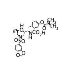 CC(C)CN(C[C@@H](O)[C@H](Cc1ccc(OC(=O)N(C)C)cc1)NC(=O)O)S(=O)(=O)c1ccc2c(c1)OCO2